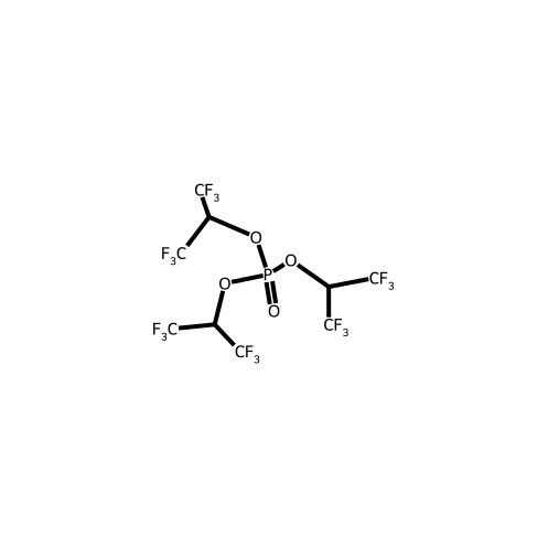 O=P(OC(C(F)(F)F)C(F)(F)F)(OC(C(F)(F)F)C(F)(F)F)OC(C(F)(F)F)C(F)(F)F